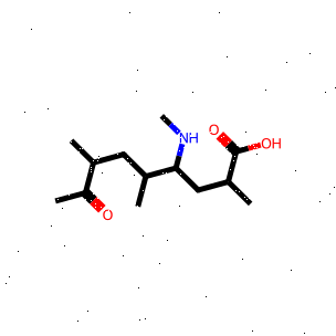 CNC(CC(C)C(=O)O)C(C)CC(C)C(C)=O